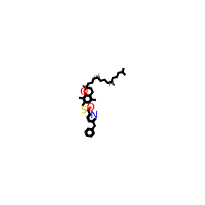 Cc1c(C)c2c(c(C)c1OC(=S)c1ccc(Cc3ccccc3)cn1)CC[C@@](C)(CCC[C@H](C)CCC[C@H](C)CCCC(C)C)O2